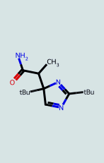 CC(C(N)=O)C1(C(C)(C)C)C=NC(C(C)(C)C)=N1